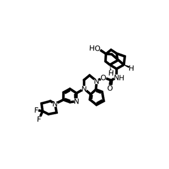 O=C(NC1[C@@H]2CC3C[C@H]1CC(O)(C3)C2)ON1CCN(c2ccc(N3CCC(F)(F)CC3)cn2)c2ccccc21